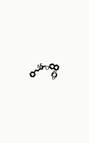 CN1CCN(c2cccc3ccc(OCc4cc(C=Cc5ccccc5)ns4)cc23)CC1